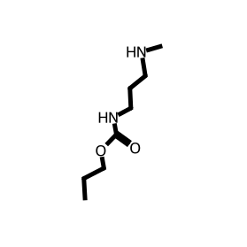 CCCOC(=O)NCCCNC